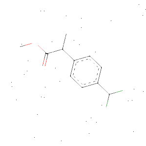 COC(=O)C(C)c1ccc(C(F)F)cc1